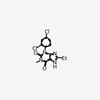 CCc1nc2c([nH]1)c(=O)n(C)c(=O)n2-c1ccc(Cl)cc1Cl